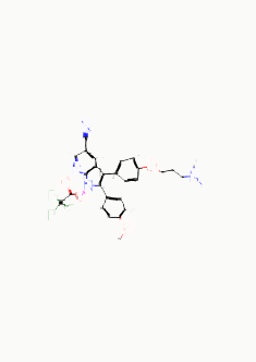 COc1ccc(-c2c(-c3ccc(OCCCN(C)C)cc3)c3cc(C#N)cnc3n2OC(=O)C(F)(F)F)cc1